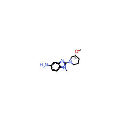 CO[C@@H]1CCCN(c2nc3cc(N)ccc3n2C)C1